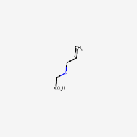 C=CCNCC(=O)O